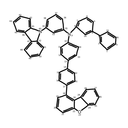 c1ccc(-c2cccc(N(c3ccc(-c4ccc(-c5cccc6oc7ccccc7c56)cc4)cc3)c3cccc(-n4c5ccccc5c5ccccc54)c3)c2)cc1